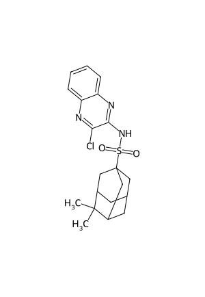 CC1(C)C2CC3CC1CC(S(=O)(=O)Nc1nc4ccccc4nc1Cl)(C3)C2